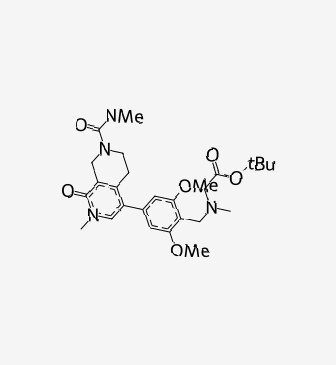 CNC(=O)N1CCc2c(-c3cc(OC)c(CN(C)CC(=O)OC(C)(C)C)c(OC)c3)cn(C)c(=O)c2C1